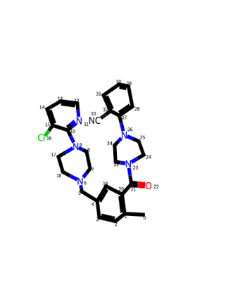 Cc1ccc(CN2CCN(c3ncccc3Cl)CC2)cc1C(=O)N1CCN(c2ccccc2C#N)CC1